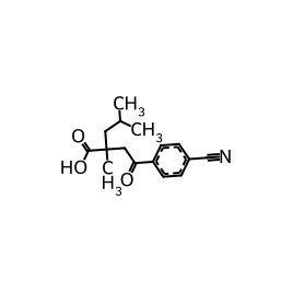 CC(C)CC(C)(CC(=O)c1ccc(C#N)cc1)C(=O)O